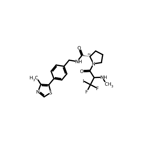 CNC(C(=O)N1CCC[C@H]1C(=O)NCc1ccc(-c2scnc2C)cc1)C(F)(F)I